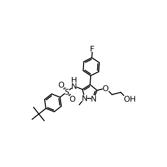 Cn1nc(OCCO)c(-c2ccc(F)cc2)c1NS(=O)(=O)c1ccc(C(C)(C)C)cc1